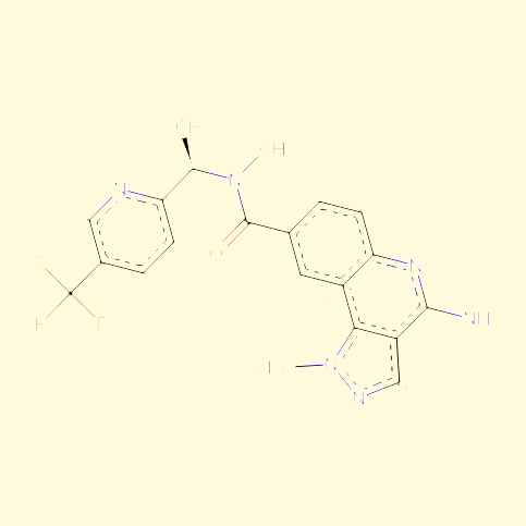 C[C@H](c1ccc(C(F)(F)F)cn1)N(C)C(=O)c1ccc2nc(N)c3cnn(C)c3c2c1